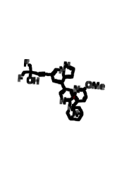 COc1ccc(CN2C3CC2CN(c2ccc(-c4cc(C#CC(O)(CF)CF)cn5nccc45)cn2)C3)cn1